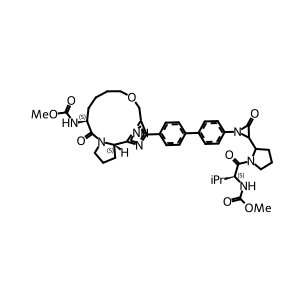 COC(=O)N[C@H]1CCCCOCc2[nH]c(nc2-c2ccc(-c3ccc(N4C(=O)C4C4CCCN4C(=O)[C@@H](NC(=O)OC)C(C)C)cc3)cc2)[C@@H]2CCCN2C1=O